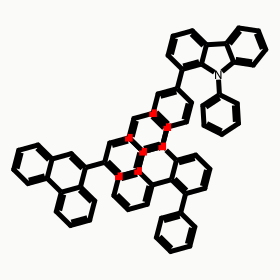 c1ccc(-c2ccccc2-c2c(-c3ccccc3)cccc2N(c2ccc(-c3cc4ccccc4c4ccccc34)cc2)c2ccc(-c3cccc4c5ccccc5n(-c5ccccc5)c34)cc2)cc1